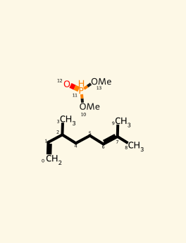 C=CC(C)CCC=C(C)C.CO[PH](=O)OC